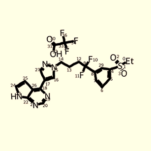 CCS(=O)(=O)c1cccc(C(F)(F)CCCn2cc(-c3ncnc4[nH]ccc34)cn2)c1.O=C(O)C(F)(F)F